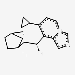 O[C@H](c1c(C2CC2)ccn2cncc12)[C@H]1CC2CC[C@H]1C2